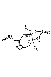 COC1C[C@H]2OC(=O)O[C@H]2CO1